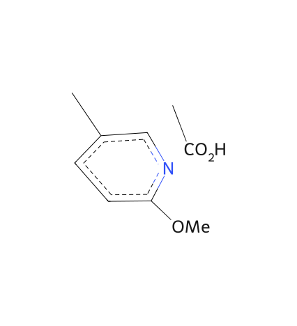 CC(=O)O.COc1ccc(C)cn1